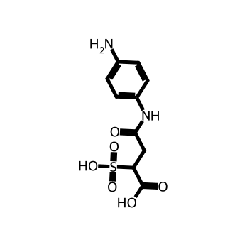 Nc1ccc(NC(=O)CC(C(=O)O)S(=O)(=O)O)cc1